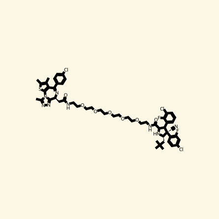 Cc1sc2c(c1C)C(c1ccc(Cl)cc1)=N[C@@H](CC(=O)NCCOCCOCCOCCOCCOCCNC(=O)C1N[C@@H](CC(C)(C)C)[C@](C#N)(c3ccc(Cl)cc3F)C1c1cccc(Cl)c1F)c1nnc(C)n1-2